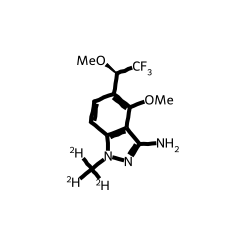 [2H]C([2H])([2H])n1nc(N)c2c(OC)c([C@@H](OC)C(F)(F)F)ccc21